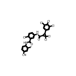 N#Cc1ccc(NC(=O)c2cc(NC(=O)C3C(c4cc(Cl)c(Cl)c(Cl)c4)C3(Cl)Cl)ccc2Cl)c(F)c1